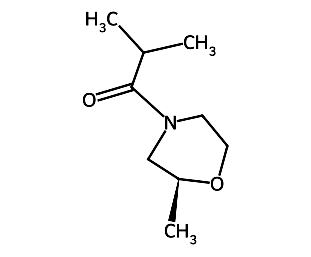 CC(C)C(=O)N1CCO[C@@H](C)C1